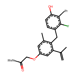 C=C(C)c1cc(OCC(=O)NC)cc(C)c1Cc1ccc(O)c(C(C)C)c1F